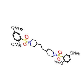 COc1ccc(OC)c(S(=O)(=O)N2CCC(CCC3CCN(S(=O)(=O)c4cc(OC)ccc4OC)CC3)CC2)c1